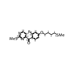 CSCCCCOc1ccc(C(=O)c2ccnc(SC)n2)c(F)c1